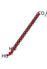 C=C1CC[C@H](OCCCNC(=O)CCOCCOCCOCCOCCOCCOCCOCCOCCOCCOCCOCCOCCOCCOCCOCCOCCOCCOCCOCCOCCOCCOCCOCCOCCOCCC(=O)O)C/C1=C/C=C1\CCC[C@]2(C)[C@@H]([C@H](C)CCCC(C)(C)O)CC[C@@H]12